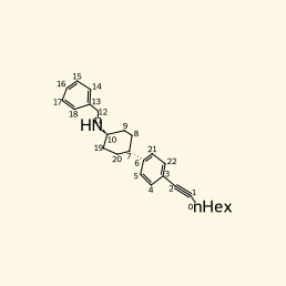 CCCCCCC#Cc1ccc([C@H]2CC[C@H](NCc3ccccc3)CC2)cc1